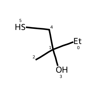 CCC(C)(O)CS